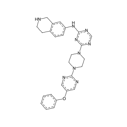 c1ccc(Oc2cnc(N3CCN(c4ncnc(Nc5ccc6c(c5)CNCC6)n4)CC3)nc2)cc1